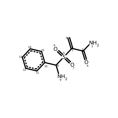 C=C(C(N)=O)S(=O)(=O)C(N)c1ccccc1